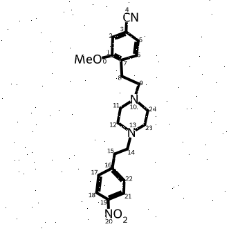 COc1cc(C#N)ccc1CCN1CCN(CCc2ccc([N+](=O)[O-])cc2)CC1